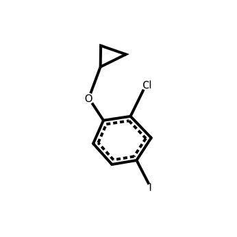 Clc1cc(I)ccc1OC1CC1